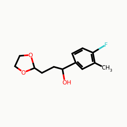 Cc1cc(C(O)CCC2OCCO2)ccc1F